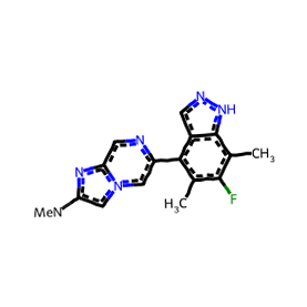 CNc1cn2cc(-c3c(C)c(F)c(C)c4[nH]ncc34)ncc2n1